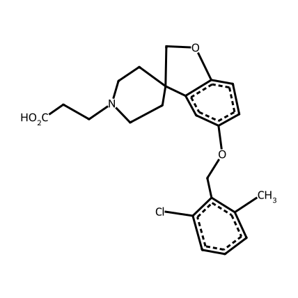 Cc1cccc(Cl)c1COc1ccc2c(c1)C1(CCN(CCC(=O)O)CC1)CO2